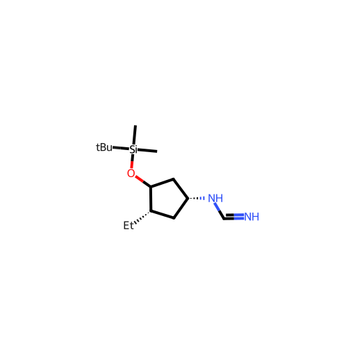 CC[C@H]1C[C@@H](NC=N)CC1O[Si](C)(C)C(C)(C)C